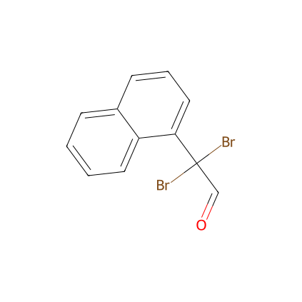 O=CC(Br)(Br)c1cccc2ccccc12